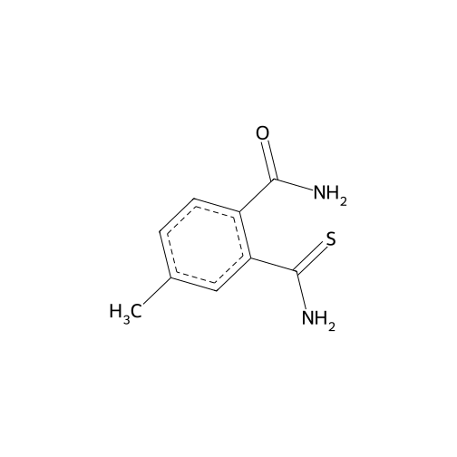 Cc1ccc(C(N)=O)c(C(N)=S)c1